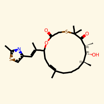 CC1=CCC(C(C)=Cc2csc(C)n2)OC(=O)CSC(C)(C)C(=O)[C@H](C)[C@H](O)[C@@H](C)CCC1